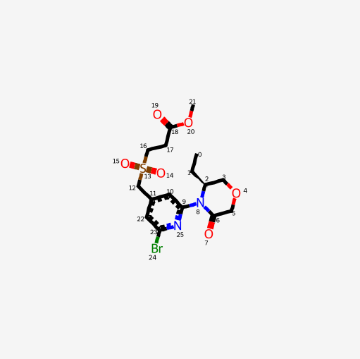 CC[C@H]1COCC(=O)N1c1cc(CS(=O)(=O)CCC(=O)OC)cc(Br)n1